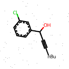 CCCCC#CC(O)c1cccc(Cl)c1